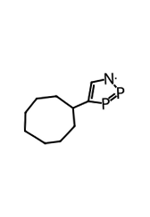 C1=C(C2CCCCCCC2)P=P[N]1